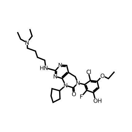 CCOc1cc(O)c(F)c(N2Cc3cnc(NCCCCN(CC)CC)nc3N(C3CCCC3)C2=O)c1Cl